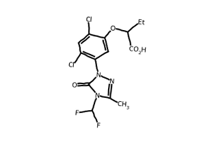 CCC(Oc1cc(-n2nc(C)n(C(F)F)c2=O)c(Cl)cc1Cl)C(=O)O